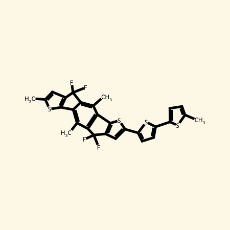 Cc1ccc(-c2ccc(-c3cc4c(s3)-c3c(C)c5c(c(C)c3C4(F)F)-c3sc(C)cc3C5(F)F)s2)s1